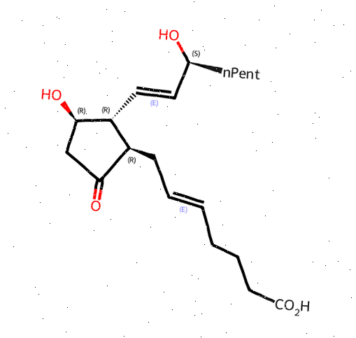 CCCCC[C@H](O)/C=C/[C@H]1[C@H](O)CC(=O)[C@@H]1C/C=C/CCCC(=O)O